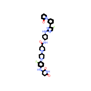 O=C1CCC(Nc2ccc(N3CCC(N4CCC(C(=O)N[C@H]5CC[C@H](Nc6ncc(F)c(-c7cccc(-n8ccccc8=O)c7)n6)CC5)CC4)CC3)c(F)c2)C(=O)N1